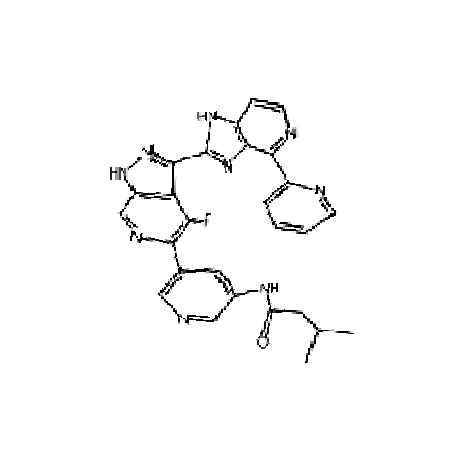 CC(C)CC(=O)Nc1cncc(-c2ncc3[nH]nc(-c4nc5c(-c6ccccn6)nccc5[nH]4)c3c2F)c1